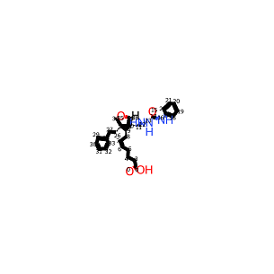 O=C(O)CCC/C=C\C[C@@H]1[C@@H](CNNC(=O)Nc2ccccc2)[C@H]2C[C@]1(CCc1ccccc1)CO2